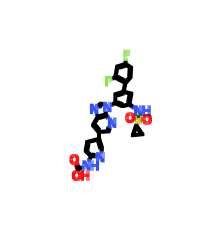 O=C(O)Nc1ccc(-c2cnc3c(c2)ncn3-c2cc(NS(=O)(=O)C3CC3)cc(-c3ccc(F)cc3F)c2)cn1